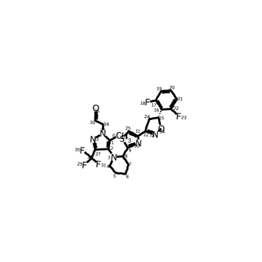 Cc1c(N2CCCCC2c2nc(C3=NO[C@@H](c4c(F)cccc4F)C3)cs2)c(C(F)(F)F)nn1CC=O